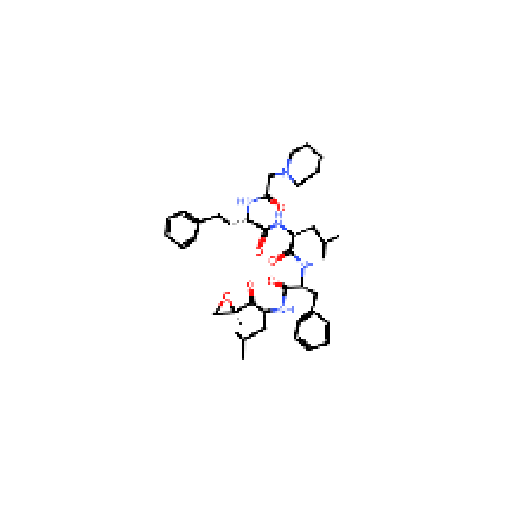 CC(C)C[C@H](NC(=O)[C@H](CCc1ccccc1)NC(=O)CN1CC[CH]CC1)C(=O)N[C@@H](Cc1ccccc1)C(=O)N[C@@H](CC(C)C)C(=O)[C@@]1(C)CO1